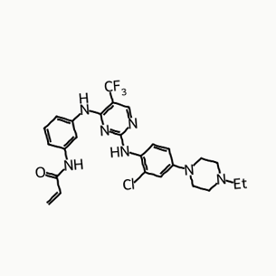 C=CC(=O)Nc1cccc(Nc2nc(Nc3ccc(N4CCN(CC)CC4)cc3Cl)ncc2C(F)(F)F)c1